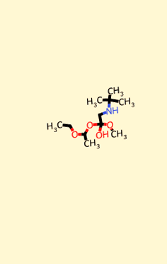 CCOC(C)OC(O)(CNC(C)(C)C)OC